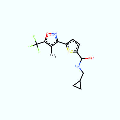 Cc1c(-c2ccc(C(O)NCC3CC3)s2)noc1C(F)(F)F